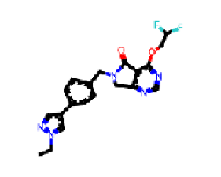 CCn1cc(-c2ccc(CN3Cc4ncnc(OCC(F)F)c4C3=O)cc2)cn1